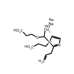 C=CCC1=NC=C[N+]1(CCC(=O)O)C(C)OCCC(=O)O.[Na].[Na].[OH-]